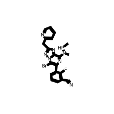 CPN(C)c1nc(-c2cccc(C#N)c2F)c(Br)n2nc(Cc3ccccn3)nc12